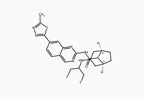 Cc1nnc(-c2ccc3cnc(NC(=O)N4[C@@H]5CC[C@H]4CC(NC(CF)CF)C5)nc3c2)s1